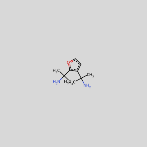 CC(C)(N)c1ccoc1C(C)(C)N